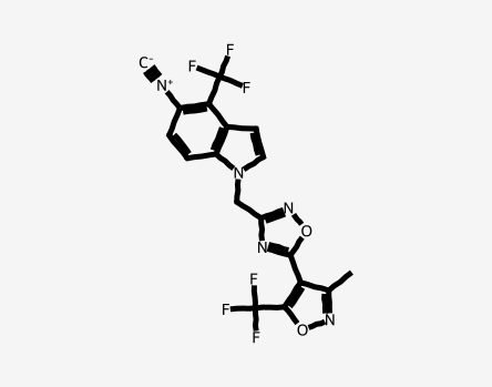 [C-]#[N+]c1ccc2c(ccn2Cc2noc(-c3c(C)noc3C(F)(F)F)n2)c1C(F)(F)F